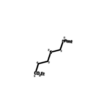 CCCCCCSCCC(=O)OCC